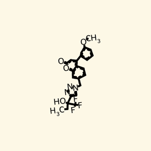 CCC(O)(c1cn(Cc2ccc3c(-c4cccc(OC)c4)cc(=O)oc3c2)nn1)C(F)(F)F